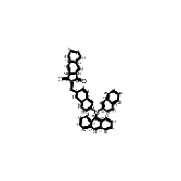 O=C1C(=Cc2ccc3cc(N(c4ccc5ccccc5c4)c4c5ccccc5cc5ccccc45)ccc3c2)C(=O)c2cc3ccccc3cc21